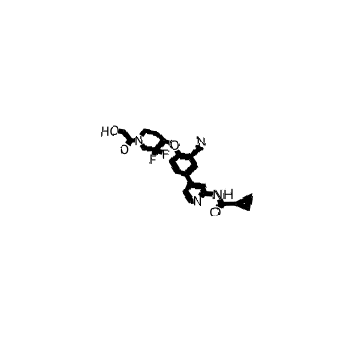 N#Cc1cc(-c2ccnc(NC(=O)C3CC3)c2)ccc1OC1CCN(C(=O)CO)CC1(F)F